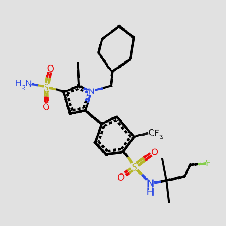 Cc1c(S(N)(=O)=O)cc(-c2ccc(S(=O)(=O)NC(C)(C)CCF)c(C(F)(F)F)c2)n1CC1CCCCC1